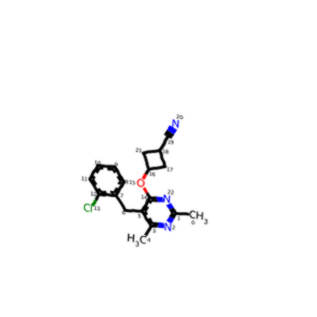 Cc1nc(C)c(Cc2ccccc2Cl)c(OC2CC(C#N)C2)n1